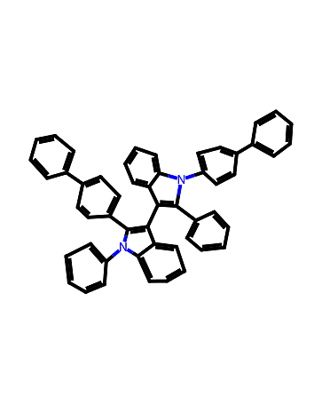 c1ccc(-c2ccc(-c3c(-c4c(-c5ccccc5)n(-c5ccc(-c6ccccc6)cc5)c5ccccc45)c4ccccc4n3-c3ccccc3)cc2)cc1